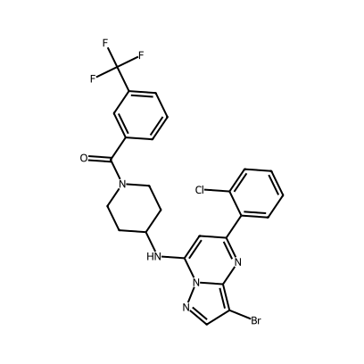 O=C(c1cccc(C(F)(F)F)c1)N1CCC(Nc2cc(-c3ccccc3Cl)nc3c(Br)cnn23)CC1